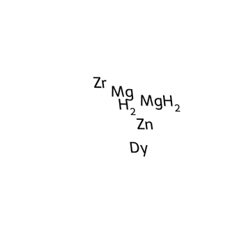 [Dy].[MgH2].[MgH2].[Zn].[Zr]